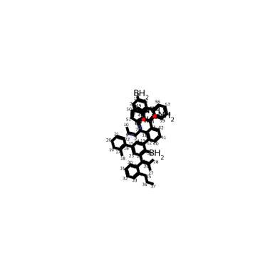 Bc1ccc(N/C=C(/C=C\C)c2c(-c3cc(C4=C(C)CCC=C4)cc(C(=C(C)C)c4ccccc4CCC)c3B)cccc2-c2c(N)[nH]c3ccccc23)c(-c2ccccc2)c1